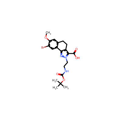 COc1cc2c(cc1Br)-c1nn(CCNC(=O)OC(C)(C)C)c(C(=O)O)c1CC2